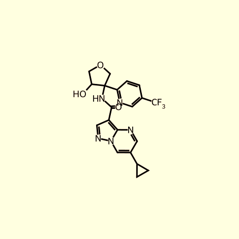 O=C(NC1(c2ccc(C(F)(F)F)cn2)COCC1O)c1cnn2cc(C3CC3)cnc12